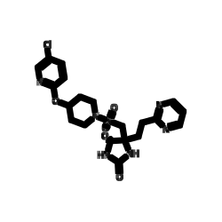 O=C1NC(=O)C(CCc2ncccn2)(CS(=O)(=O)N2CCC(Oc3ccc(Cl)cn3)CC2)N1